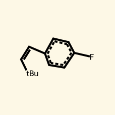 CC(C)(C)/C=C\c1ccc(F)cc1